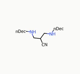 CCCCCCCCCCNCC(C#N)CNCCCCCCCCCC